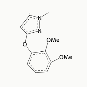 COc1cccc(Oc2c[c]n(C)n2)c1OC